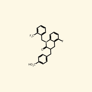 O=C(O)c1ccc(CC2Cc3c(F)cccc3N(Cc3ccccc3C(F)(F)F)C2=O)cc1